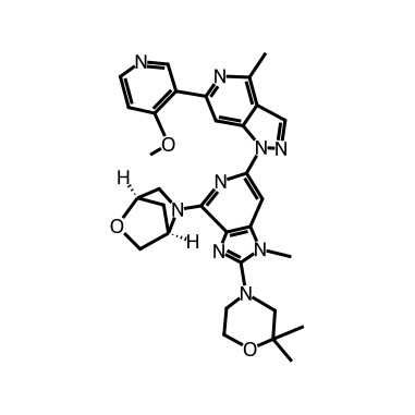 COc1ccncc1-c1cc2c(cnn2-c2cc3c(nc(N4CCOC(C)(C)C4)n3C)c(N3C[C@H]4C[C@@H]3CO4)n2)c(C)n1